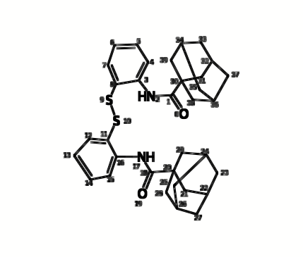 O=C(Nc1ccccc1SSc1ccccc1NC(=O)C12CC3CC(CC(C3)C1)C2)C12CC3CC(CC(C3)C1)C2